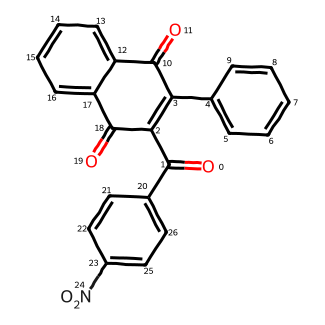 O=C(C1=C(c2ccccc2)C(=O)c2ccccc2C1=O)c1ccc([N+](=O)[O-])cc1